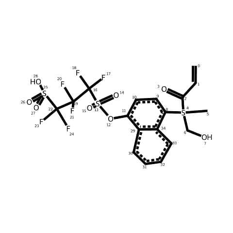 C=CC(=O)S(C)(CO)c1ccc(OS(=O)(=O)C(F)(F)C(F)(F)C(F)(F)S(=O)(=O)O)c2ccccc12